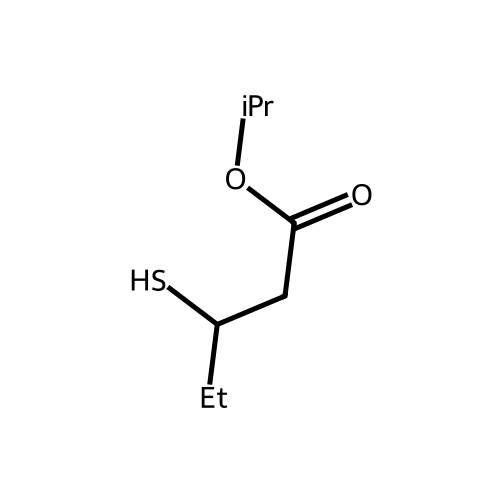 CCC(S)CC(=O)OC(C)C